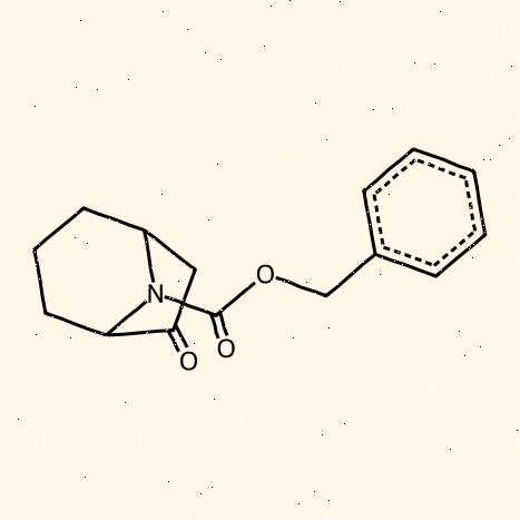 O=C1CC2CCCC1N2C(=O)OCc1ccccc1